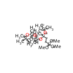 CO[Si](CC[Si](C)(O[SiH](C)O[Si](C)(C)O[Si](C)(C)C)O[Si](C)(C)C)(OC)OC